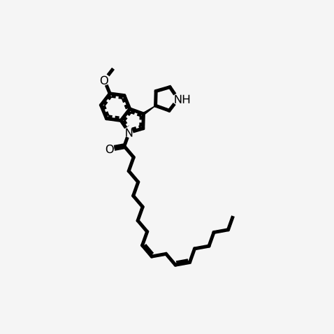 CCCCC/C=C\C/C=C\CCCCCCCC(=O)n1cc([C@H]2CCNC2)c2cc(OC)ccc21